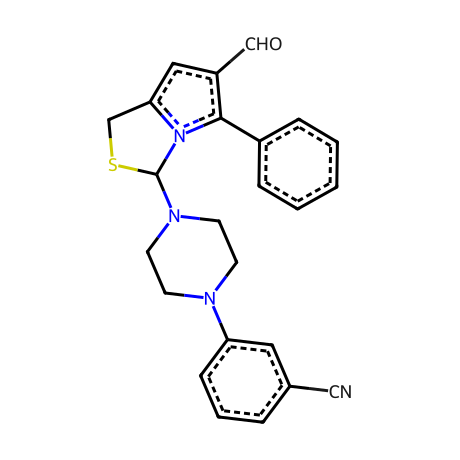 N#Cc1cccc(N2CCN(C3SCc4cc(C=O)c(-c5ccccc5)n43)CC2)c1